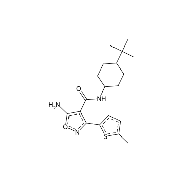 Cc1ccc(-c2noc(N)c2C(=O)NC2CCC(C(C)(C)C)CC2)s1